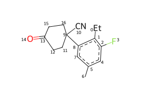 CCc1c(F)cc(C)cc1C1(C#N)CCC(=O)CC1